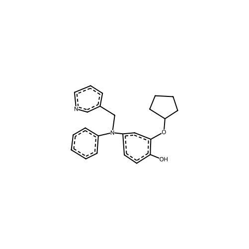 Oc1ccc(N(Cc2cccnc2)c2ccccc2)cc1OC1CCCC1